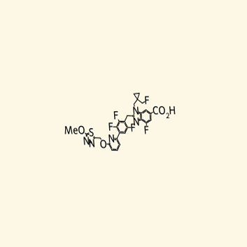 COc1nnc(COc2cccc(-c3cc(F)c(Cc4nc5c(F)cc(C(=O)O)cc5n4CC4(CF)CC4)c(F)c3F)n2)s1